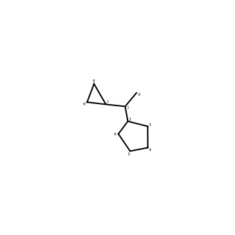 CC(C1CCCC1)C1CC1